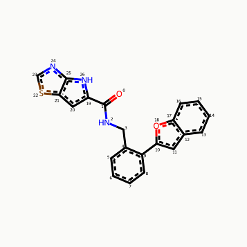 O=C(NCc1ccccc1-c1cc2ccccc2o1)c1cc2scnc2[nH]1